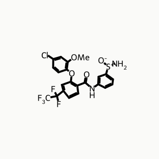 COc1cc(Cl)ccc1Oc1cc(C(F)(F)C(F)(F)F)ccc1C(=O)Nc1cccc([S+](N)[O-])c1